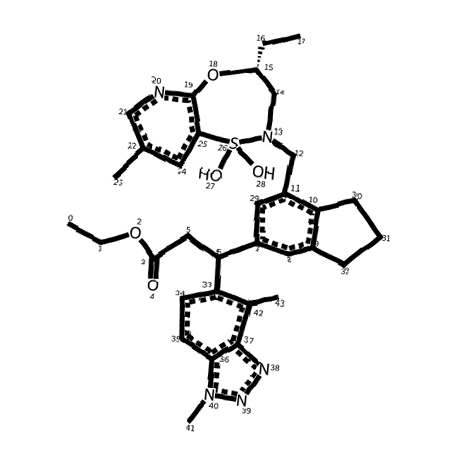 CCOC(=O)CC(c1cc2c(c(CN3C[C@@H](CC)Oc4ncc(C)cc4S3(O)O)c1)CCC2)c1ccc2c(nnn2C)c1C